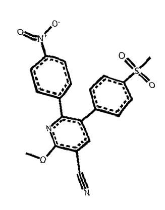 COc1nc(-c2ccc([N+](=O)[O-])cc2)c(-c2ccc(S(C)(=O)=O)cc2)cc1C#N